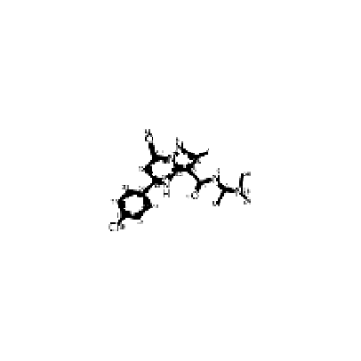 C/C(=N\C(=O)c1c(C)nn2c(=O)cc(-c3ccc(Cl)cc3)[nH]c12)N(C)C